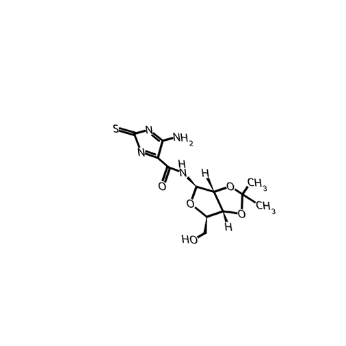 CC1(C)O[C@@H]2[C@H](O1)[C@@H](CO)O[C@H]2NC(=O)C1=NC(=S)N=C1N